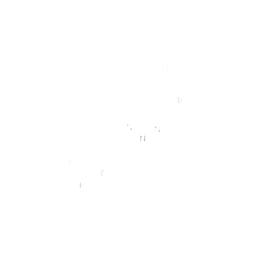 COc1ccc2c(nnn2CCCC(F)(F)F)c1Br